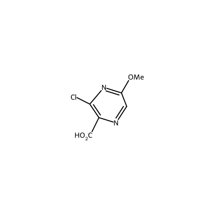 COc1cnc(C(=O)O)c(Cl)n1